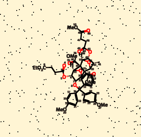 CCOC(=O)CCC(=O)O[C@H]1[C@@H](OC(c2ccccc2)(c2ccc(OC)cc2)c2ccc(OC)cc2)C2O[C@@H]1[C@]1(C(=O)OC)[C@@H]3OC([C@@H](C)[C@H]3OC(=O)CCC(=O)OC)[C@]21C(=O)OC